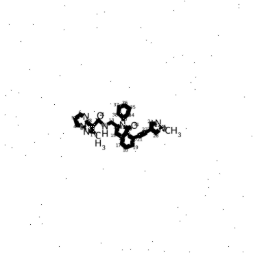 Cc1nn2cccnc2c1C(=O)NCc1cc2cccc(C#Cc3cnn(C)c3)c2c(=O)n1-c1ccccc1